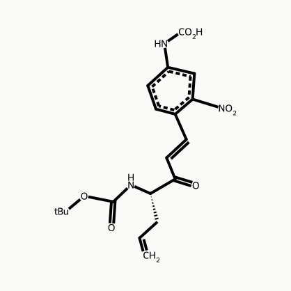 C=CC[C@H](NC(=O)OC(C)(C)C)C(=O)/C=C/c1ccc(NC(=O)O)cc1[N+](=O)[O-]